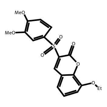 CCOc1cccc2cc(S(=O)(=O)c3ccc(OC)c(OC)c3)c(=O)oc12